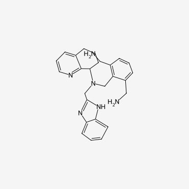 NCc1cccc(CN)c1CN(Cc1nc2ccccc2[nH]1)C1CCCc2cccnc21